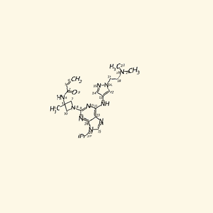 C=CC(=O)NC1(C)CN(c2nc(Nc3cnn(CCN(C)C)c3)c3ncn(C(C)C)c3n2)C1